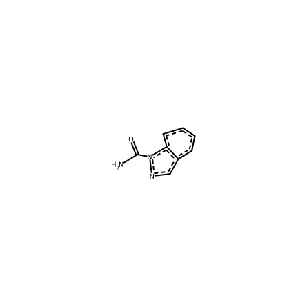 NC(=O)n1ncc2ccc[c]c21